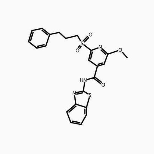 COc1cc(C(=O)Nc2nc3ccccc3s2)cc(S(=O)(=O)CCCc2ccccc2)n1